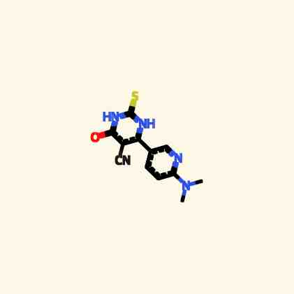 CN(C)c1ccc(-c2[nH]c(=S)[nH]c(=O)c2C#N)cn1